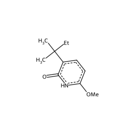 CCC(C)(C)c1ccc(OC)[nH]c1=O